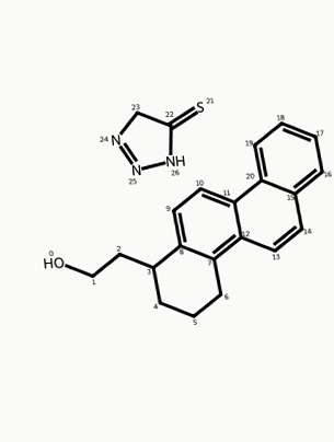 OCCC1CCCc2c1ccc1c2ccc2ccccc21.S=C1CN=NN1